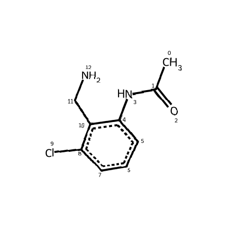 CC(=O)Nc1cccc(Cl)c1CN